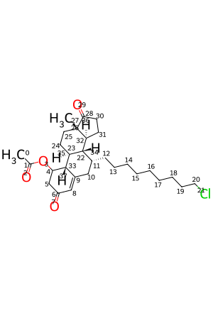 CC(=O)OC1CC(=O)C=C2C[C@@H](CCCCCCCCCCl)[C@@H]3[C@H](CC[C@]4(C)C(=O)CC[C@@H]34)[C@H]21